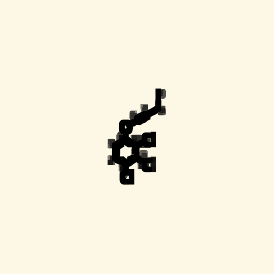 Clc1ccc(OC#CCI)c(Cl)c1Cl